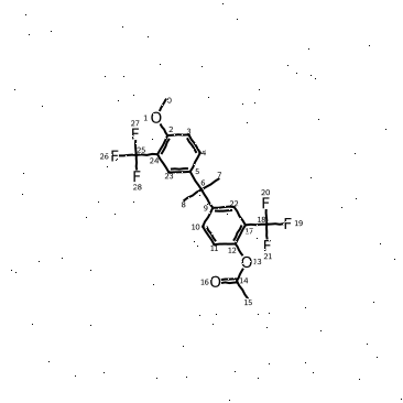 COc1ccc(C(C)(C)c2ccc(OC(C)=O)c(C(F)(F)F)c2)cc1C(F)(F)F